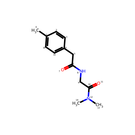 Cc1ccc(CC(=O)NCC(=O)N(C)C)cc1